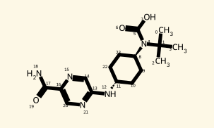 CC(C)(C)N(C(=O)O)[C@H]1CC[C@H](Nc2cnc(C(N)=O)cn2)CC1